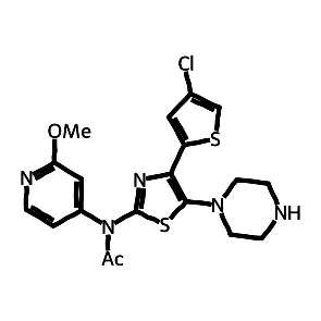 COc1cc(N(C(C)=O)c2nc(-c3cc(Cl)cs3)c(N3CCNCC3)s2)ccn1